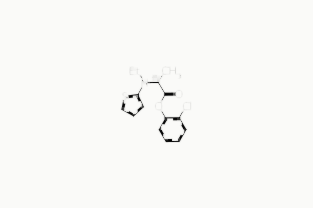 CCN(c1cccs1)[C@@H](C)C(=O)Oc1ccccc1Cl